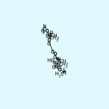 Cc1ncsc1-c1ccc(CNC(=O)[C@@H]2CC(O)CN2C(=O)[C@H](C(C)C)n2cc(Oc3cccc(OCCCCCOc4ccc(N5C(=S)N(c6ccc(C#N)c(C(F)(F)F)c6)C(=O)C5(C)C)cc4)c3)cn2)cc1